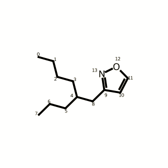 CCCCC(CCC)Cc1ccon1